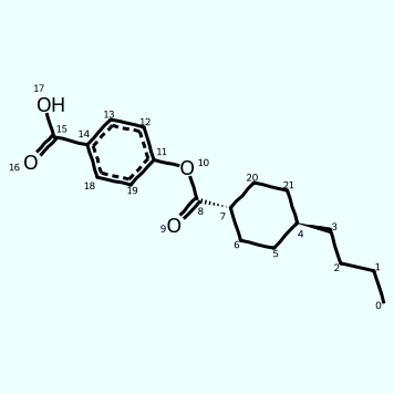 CCCC[C@H]1CC[C@H](C(=O)Oc2ccc(C(=O)O)cc2)CC1